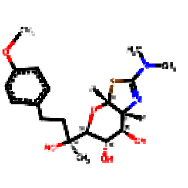 COc1ccc(CC[C@](C)(O)[C@H]2O[C@@H]3SC(N(C)C)=N[C@@H]3[C@@H](O)[C@@H]2O)cc1